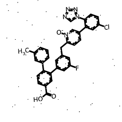 Cc1cccc(-c2ccc(C(=O)O)cc2-c2cc(F)cc(Cc3ccc(-c4cc(Cl)ccc4-n4cnnn4)c[n+]3[O-])c2)c1